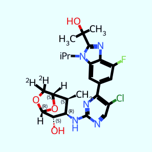 [2H]C1([2H])O[C@@H]2O[C@H]1[C@@H](C)[C@@H](Nc1ncc(Cl)c(-c3cc(F)c4nc(C(C)(C)O)n(C(C)C)c4c3)n1)[C@@H]2O